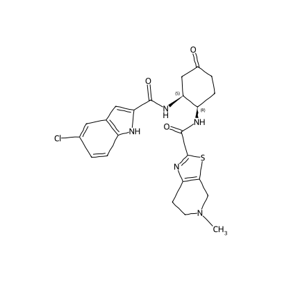 CN1CCc2nc(C(=O)N[C@@H]3CCC(=O)C[C@@H]3NC(=O)c3cc4cc(Cl)ccc4[nH]3)sc2C1